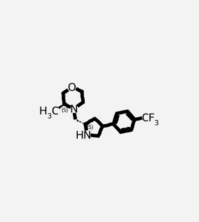 C[C@H]1COCCN1C[C@@H]1CC(c2ccc(C(F)(F)F)cc2)CN1